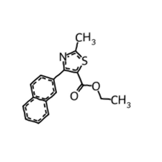 CCOC(=O)c1sc(C)nc1-c1ccc2ccccc2c1